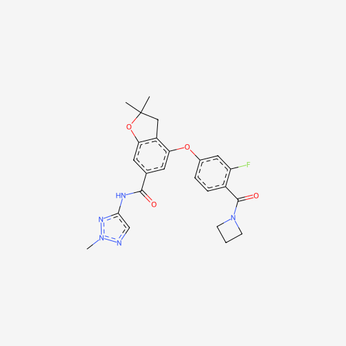 Cn1ncc(NC(=O)c2cc(Oc3ccc(C(=O)N4CCC4)c(F)c3)c3c(c2)OC(C)(C)C3)n1